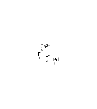 [Ca+2].[F-].[F-].[Pd]